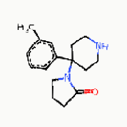 Cc1cccc(C2(N3CCCC3=O)CCNCC2)c1